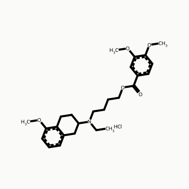 CCN(CCCCOC(=O)c1ccc(OC)c(OC)c1)C1CCc2c(cccc2OC)C1.Cl